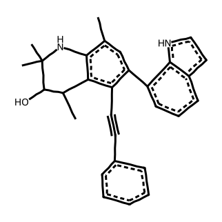 Cc1cc(-c2cccc3cc[nH]c23)c(C#Cc2ccccc2)c2c1NC(C)(C)C(O)C2C